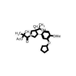 COc1ccc([C@@H]2CN(C(=O)C(C)(C)OC(C)=O)C[C@@]2(C)[C@@H](C)O)cc1OC1CCCC1